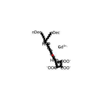 CCCCCCCCCCCCCCCCCCN(CCCCCCCCCCCCCCCCCC)C(=O)CNC(=O)CCOCCOCCOCCOCCNC(=O)CN1CCN(CC(=O)[O-])CCN(CC(=O)[O-])CCN(CC(=O)[O-])CC1.[Gd+3]